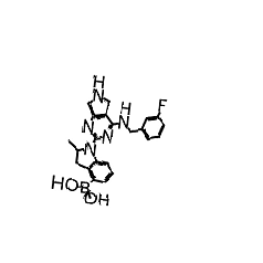 CC1Cc2c(B(O)O)cccc2N1c1nc2c(c(NCc3cccc(F)c3)n1)CNC2